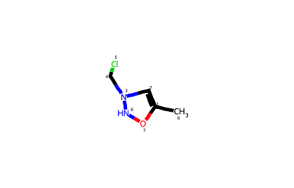 CC1=CN(CCl)NO1